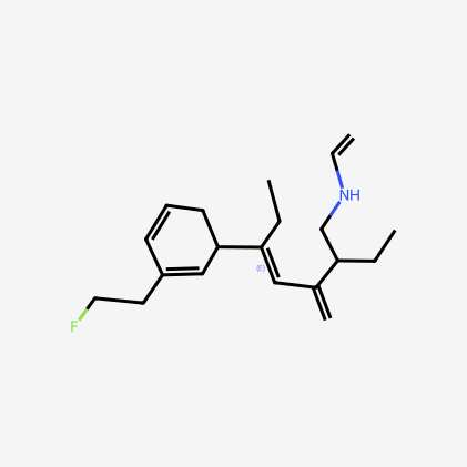 C=CNCC(CC)C(=C)/C=C(\CC)C1C=C(CCF)C=CC1